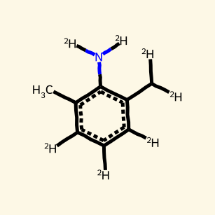 [2H]c1c([2H])c(C)c(N([2H])[2H])c(C([2H])[2H])c1[2H]